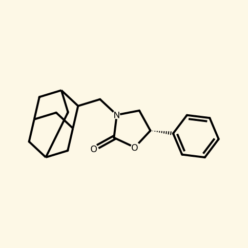 O=C1O[C@@H](c2ccccc2)CN1CC1C2CC3CC(C2)CC1C3